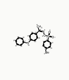 CCC(C)c1ccc(S(=O)(=O)ON=C(C)c2ccc(Sc3ccccc3)cc2)cc1